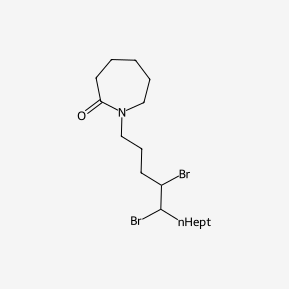 CCCCCCCC(Br)C(Br)CCCN1CCCCCC1=O